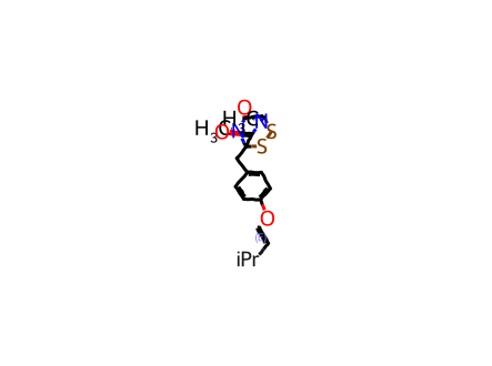 CC(C)/C=C/Oc1ccc(CC23SSC(C(=O)N2C)N(C)C3=O)cc1